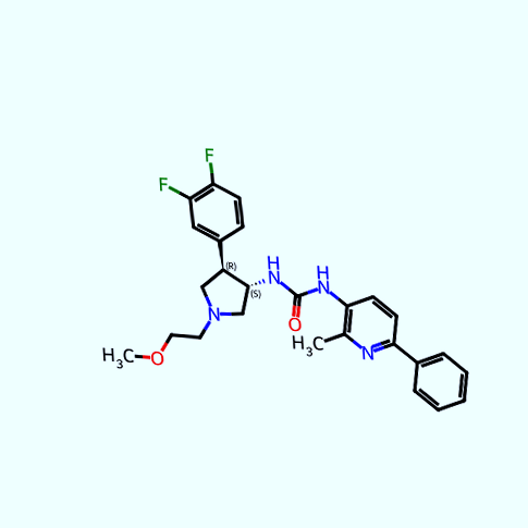 COCCN1C[C@@H](NC(=O)Nc2ccc(-c3ccccc3)nc2C)[C@H](c2ccc(F)c(F)c2)C1